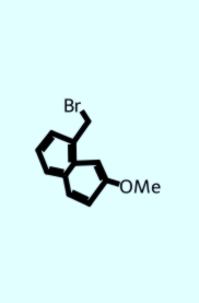 COc1ccc2cccc(CBr)c2c1